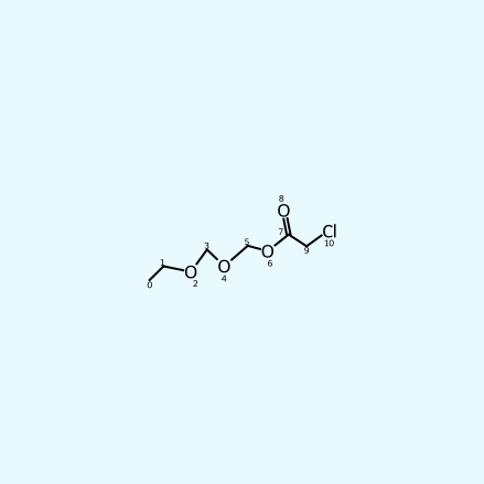 CCOCOCOC(=O)CCl